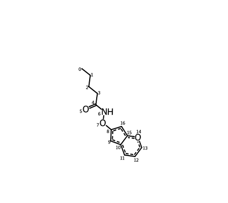 CCCCC(=O)NOc1cc2cccoc-2c1